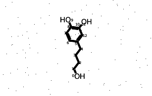 OCCCCc1ccc(O)c(O)c1